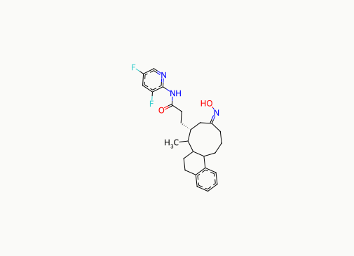 CC1C2CCc3ccccc3C2CCC/C(=N/O)C[C@H]1CCC(=O)Nc1ncc(F)cc1F